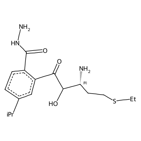 CCSCC[C@@H](N)C(O)C(=O)c1cc(C(C)C)ccc1C(=O)NN